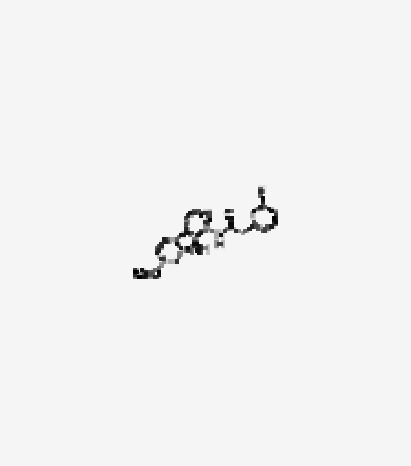 COc1ccc2c(c1)[nH]c1c(NC(=O)Cc3cccc(F)c3)nccc12